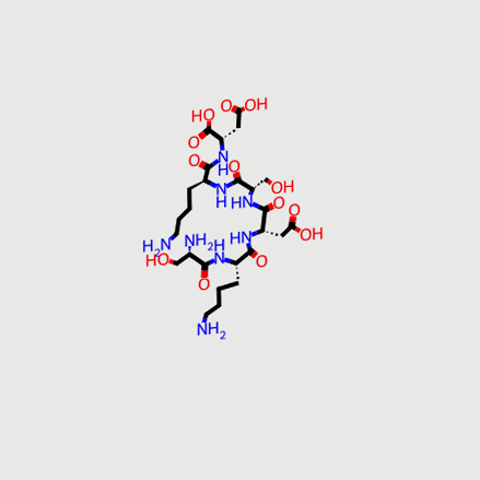 NCCCC[C@H](NC(=O)[C@H](CO)NC(=O)[C@H](CC(=O)O)NC(=O)[C@H](CCCCN)NC(=O)[C@@H](N)CO)C(=O)N[C@@H](CC(=O)O)C(=O)O